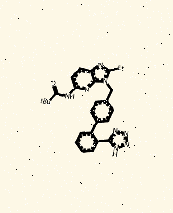 CCc1nc2ccc(NC(=O)C(C)(C)C)nc2n1Cc1ccc(-c2ccccc2-c2nnn[nH]2)cc1